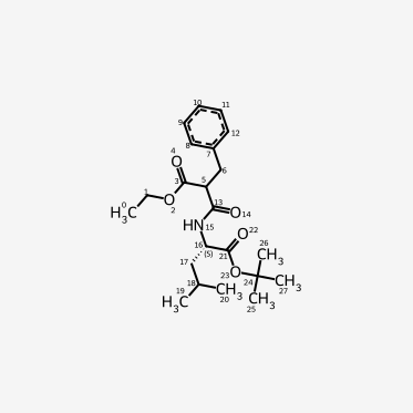 CCOC(=O)C(Cc1ccccc1)C(=O)N[C@@H](CC(C)C)C(=O)OC(C)(C)C